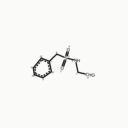 O=[C]CNS(=O)(=O)Cc1ccccc1